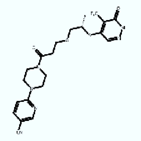 C[C@@H](COCCC(=O)N1CCN(c2ccc(C#N)cn2)CC1)Sc1cn[nH]c(=O)c1C(F)(F)F